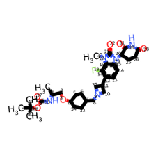 CC(COC1CCC(CN2CC(c3ccc4c(c3F)n(C)c(=O)n4C3CCC(=O)NC3=O)C2)CC1)NC(=O)OC(C)(C)C